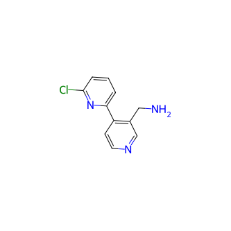 NCc1cnccc1-c1cccc(Cl)n1